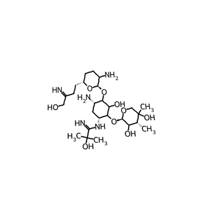 C[C@@H]1C(O)[C@@H](OC2C(O)C(O[C@H]3O[C@H](CCC(=N)CO)CCC3N)[C@@H](N)C[C@H]2NC(=N)C(C)(C)O)OCC1(C)O